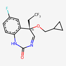 O=C1N=C[C@@](CC(F)(F)F)(OCC2CC2)c2cc(F)ccc2N1